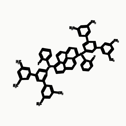 Cc1cc(C)cc(-c2cc(-c3cc(C)cc(C)c3)cc(N(c3ccccc3F)c3ccc4ccc5c(N(c6cc(-c7cc(C)cc(C)c7)cc(-c7cc(C)cc(C)c7)c6)c6ccccc6F)ccc6ccc3c4c65)c2)c1